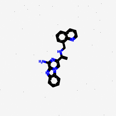 C=C(NCc1cccc2cccnc12)c1cn2c(nc3ccccc32)c(N)n1